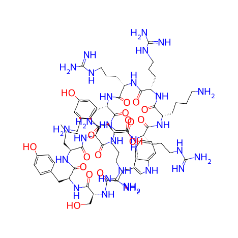 CC(C)C[C@H](NC(=O)[C@H](Cc1ccc(O)cc1)NC(=O)[C@H](CO)NC(=O)[C@@H](N)Cc1c[nH]c2ccccc12)C(=O)N[C@@H](Cc1ccc(O)cc1)C(=O)N[C@@H](CC(N)=O)C(=O)N[C@@H](CCCNC(=N)N)C(=O)N[C@@H](CCCCN)C(=O)N[C@@H](CCCNC(=N)N)C(=O)N[C@@H](CCCNC(=N)N)C(=O)N[C@@H](CCCCN)C(=O)N[C@@H](CCCNC(=N)N)C(=O)O